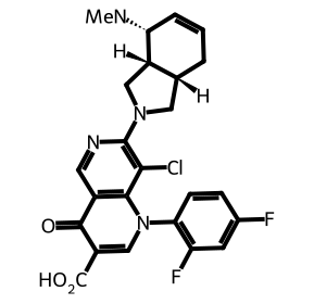 CN[C@@H]1C=CC[C@@H]2CN(c3ncc4c(=O)c(C(=O)O)cn(-c5ccc(F)cc5F)c4c3Cl)C[C@@H]21